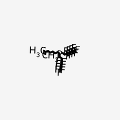 CC(C)CCCCCP(CCC(F)(F)C(F)(F)C(F)(F)C(F)(F)F)CCC(F)(F)C(F)(F)C(F)(F)C(F)(F)F